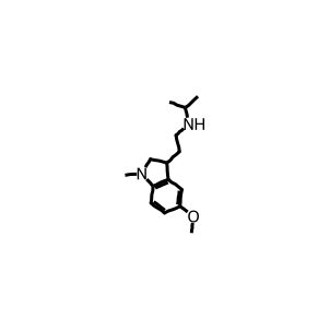 COc1ccc2c(c1)C(CCNC(C)C)CN2C